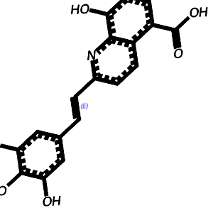 COc1cc(/C=C/c2ccc3c(C(=O)O)ccc(O)c3n2)cc(O)c1O